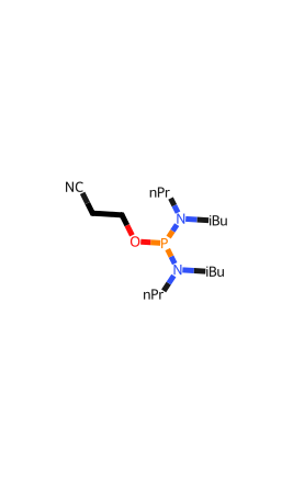 CCCN(C(C)CC)P(OCCC#N)N(CCC)C(C)CC